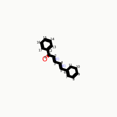 O=C(/C=C/C=C/C1=CC=CCC1)c1ccccc1